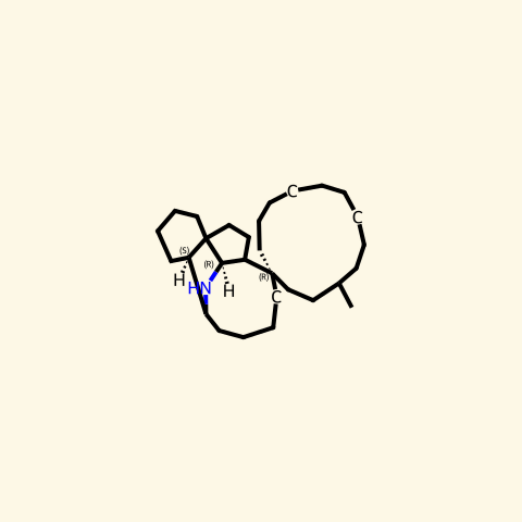 CC1CCCCCCCCC[C@@]2(CCCCC3N[C@@H]4C2CCC42CCCC[C@H]32)CC1